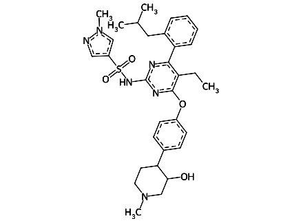 CCc1c(Oc2ccc(C3CCN(C)CC3O)cc2)nc(NS(=O)(=O)c2cnn(C)c2)nc1-c1ccccc1CC(C)C